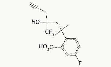 C#CCC(O)(CC(C)(C)c1ccc(F)cc1C(=O)O)C(F)(F)F